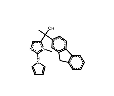 Cn1c(C(C)(O)c2ccc3c(c2)Cc2ccccc2-3)cnc1[SH]1C=CC=C1